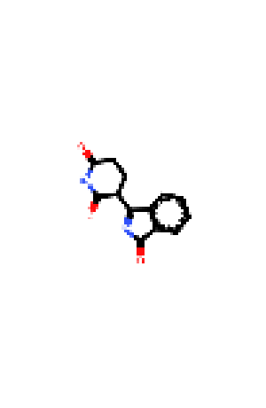 O=C1CCC(C2=NC(=O)c3ccccc32)C(=O)N1